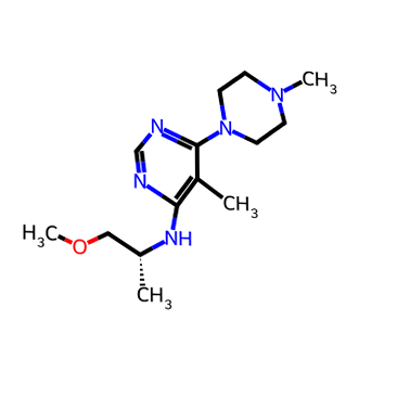 COC[C@@H](C)Nc1ncnc(N2CCN(C)CC2)c1C